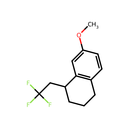 COc1ccc2c(c1)C(CC(F)(F)F)CCC2